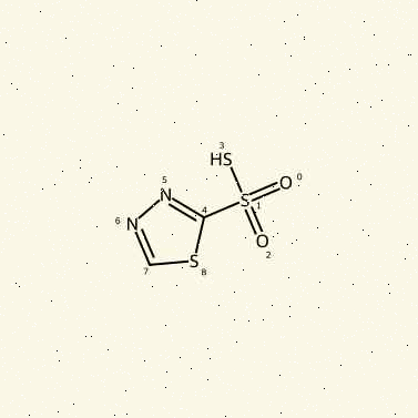 O=S(=O)(S)c1nncs1